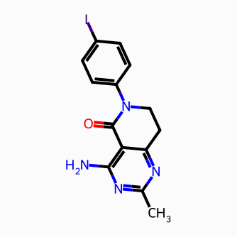 Cc1nc(N)c2c(n1)CCN(c1ccc(I)cc1)C2=O